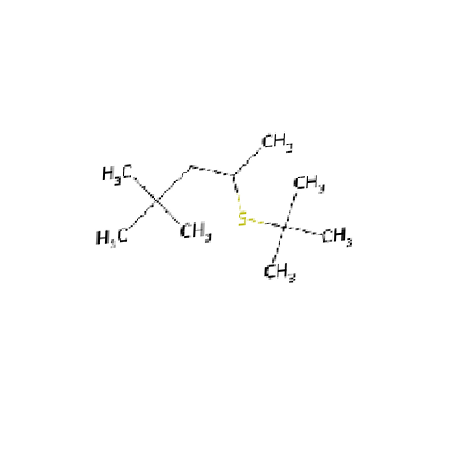 CC(CC(C)(C)C)SC(C)(C)C